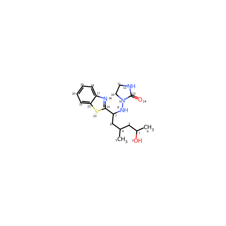 CC(O)CC(C)CC(NN1CCNC1=O)c1nc2ccccc2s1